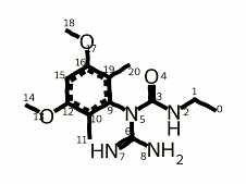 CCNC(=O)N(C(=N)N)c1c(C)c(OC)cc(OC)c1C